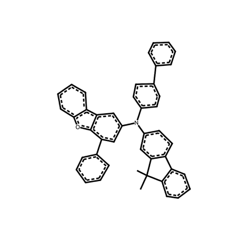 CC1(C)c2ccccc2-c2ccc(N(c3ccc(-c4ccccc4)cc3)c3cc(-c4ccccc4)c4oc5ccccc5c4c3)cc21